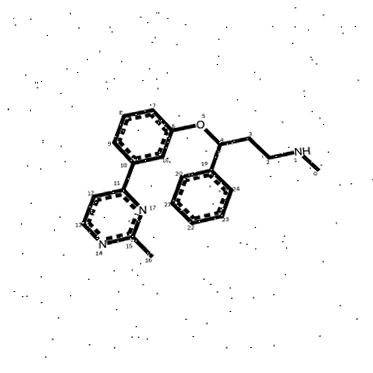 CNCCC(Oc1cccc(-c2ccnc(C)n2)c1)c1ccccc1